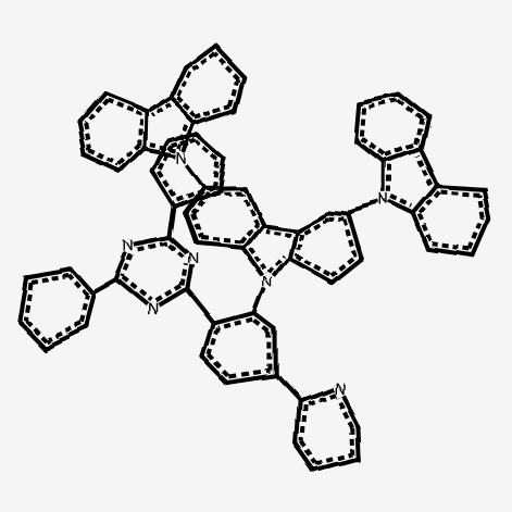 c1ccc(-c2nc(-c3ccccc3)nc(-c3ccc(-c4ccccn4)cc3-n3c4ccc(-n5c6ccccc6c6ccccc65)cc4c4cc(-n5c6ccccc6c6ccccc65)ccc43)n2)cc1